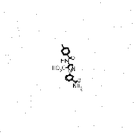 Cc1ccc(C(=O)Nc2cnn(-c3cccc(C(N)=O)c3)c2C(=O)O)cc1